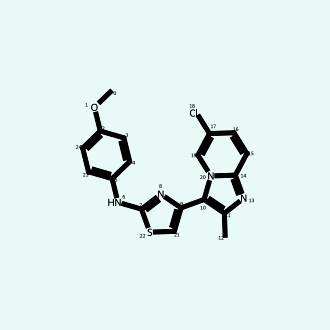 COc1ccc(Nc2nc(-c3c(C)nc4ccc(Cl)cn34)cs2)cc1